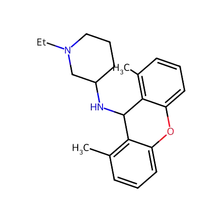 CCN1CCCC(NC2c3c(C)cccc3Oc3cccc(C)c32)C1